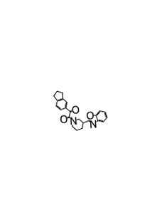 O=C(C(=O)N1CCCC(c2nc3ccccc3o2)C1)c1ccc2c(c1)CCC2